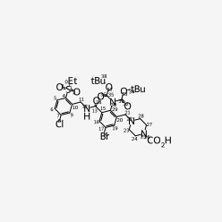 CCS(=O)(=O)c1ccc(Cl)cc1CNC(=O)c1cc(Br)cc(CN2CCN(C(=O)O)CC2)c1N(C(=O)OC(C)(C)C)C(=O)OC(C)(C)C